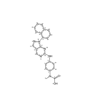 CN(C(=O)O)c1ccc(Nc2ncc3cnn(-c4cccc5ccccc45)c3n2)cc1